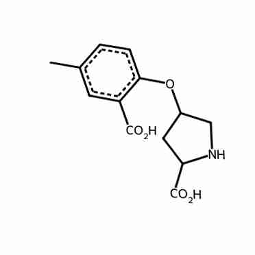 Cc1ccc(OC2CNC(C(=O)O)C2)c(C(=O)O)c1